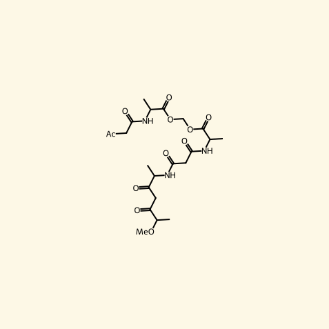 COC(C)C(=O)CC(=O)C(C)NC(=O)CC(=O)NC(C)C(=O)OCOC(=O)C(C)NC(=O)CC(C)=O